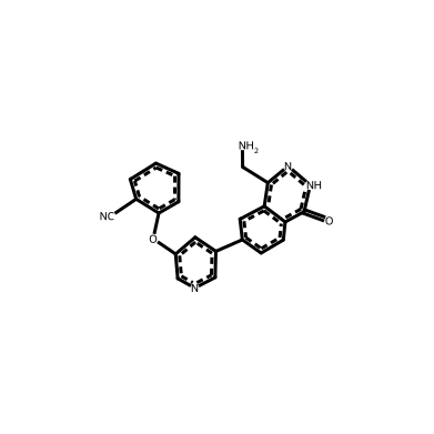 N#Cc1ccccc1Oc1cncc(-c2ccc3c(=O)[nH]nc(CN)c3c2)c1